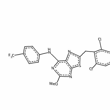 COc1nc(Nc2ccc(C(F)(F)F)cc2)c2nc(Cc3c(Cl)cccc3Cl)sc2n1